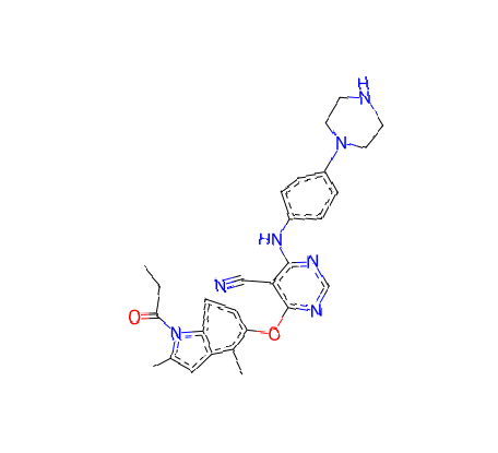 CCC(=O)n1c(C)cc2c(C)c(Oc3ncnc(Nc4ccc(N5CCNCC5)cc4)c3C#N)ccc21